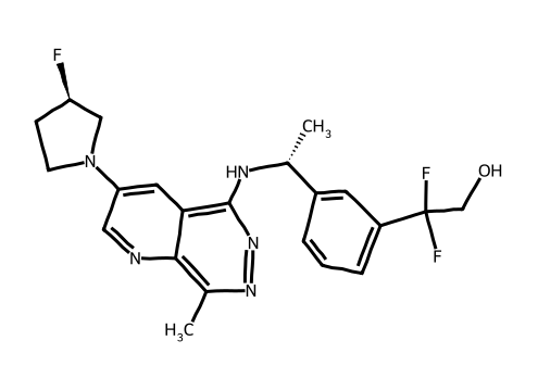 Cc1nnc(N[C@H](C)c2cccc(C(F)(F)CO)c2)c2cc(N3CC[C@@H](F)C3)cnc12